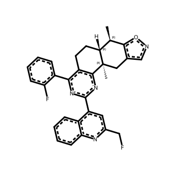 C[C@H]1c2oncc2C[C@@]2(C)c3nc(-c4cc(CF)nc5ccccc45)nc(-c4ccccc4F)c3CC[C@H]12